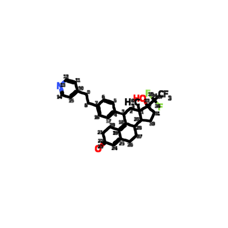 CC12C[C@H](c3ccc(CCc4ccncc4)cc3)C3=C4CCC(=O)C=C4CCC3C1CCC2(O)C(F)(F)C(F)(F)F